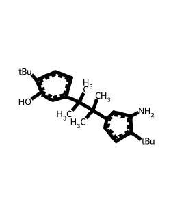 CC(C)(C)c1ccc(C(C)(C)C(C)(C)c2ccc(C(C)(C)C)c(O)c2)cc1N